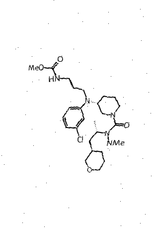 CNN(C(=O)N1CCC[C@@H](N(CCCNC(=O)OC)c2cccc(Cl)c2)C1)[C@@H](C)C[C@H]1CCCOC1